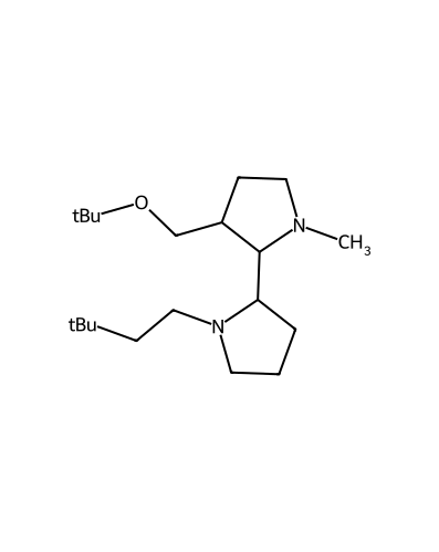 CN1CCC(COC(C)(C)C)C1C1CCCN1CCC(C)(C)C